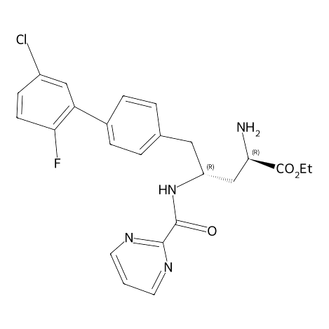 CCOC(=O)[C@H](N)C[C@@H](Cc1ccc(-c2cc(Cl)ccc2F)cc1)NC(=O)c1ncccn1